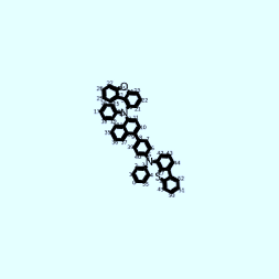 c1ccc(N(c2ccc(-c3ccc(N(c4ccccc4)c4cccc5oc6ccccc6c45)c4ccccc34)cc2)c2cccc3c2sc2ccccc23)cc1